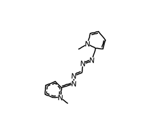 CN1C=CC=CC1/N=N/C=N/N=c1\ccccn1C